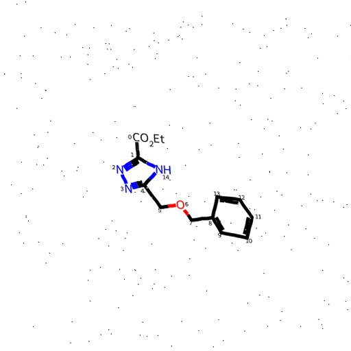 CCOC(=O)c1nnc(COCc2ccccc2)[nH]1